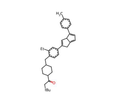 CCc1cc(C2=CC3C(=CC=C3c3ccc(C)cc3)C2)ccc1CC1CCC(C(=O)CC(C)(C)C)CC1